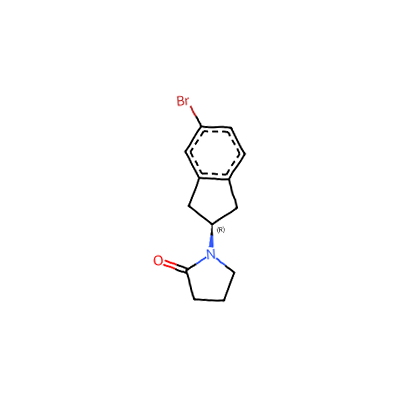 O=C1CCCN1[C@@H]1Cc2ccc(Br)cc2C1